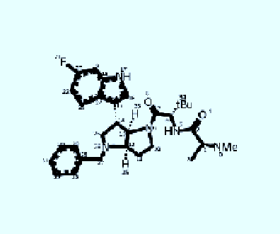 CN[C@@H](C)C(=O)N[C@H](C(=O)N1CC[C@@H]2[C@H]1[C@@H](c1c[nH]c3cc(F)ccc13)CN2Cc1ccccc1)C(C)(C)C